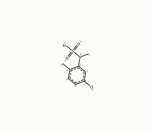 CCS(=O)(=O)N(C)c1cc(Cl)ccc1C